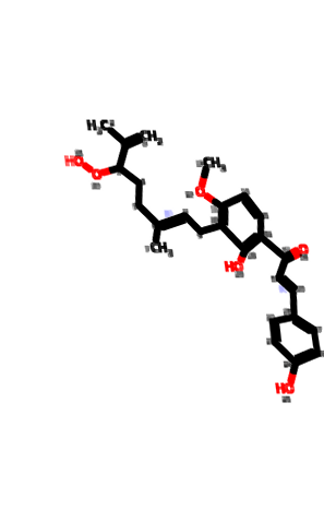 C=C(C)C(CC/C(C)=C/Cc1c(OC)ccc(C(=O)/C=C/c2ccc(O)cc2)c1O)OO